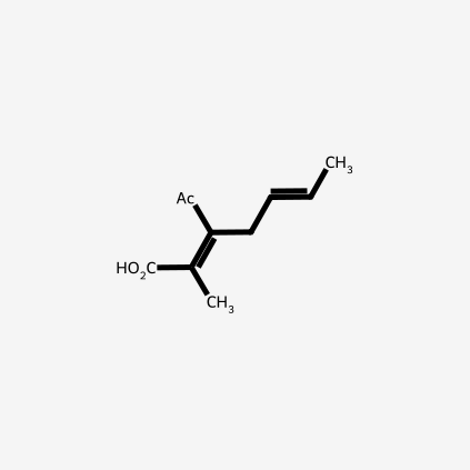 CC=CC/C(C(C)=O)=C(\C)C(=O)O